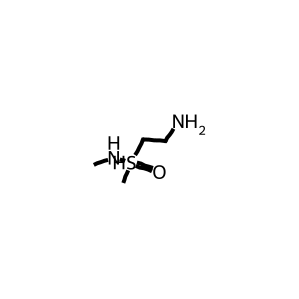 CN[SH](C)(=O)CCN